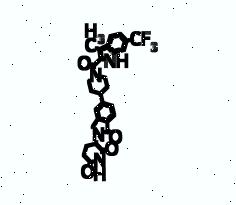 Cc1c(C(=O)N2CCC(c3ccc4c(c3)CN(C3CCC(=O)NC3=O)C4=O)CC2)[nH]c2cc(C(F)(F)F)ccc12